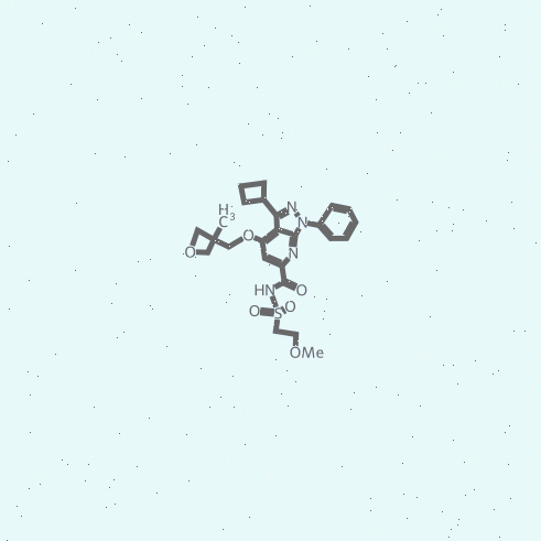 COCCS(=O)(=O)NC(=O)c1cc(OCC2(C)COC2)c2c(C3CCC3)nn(-c3ccccc3)c2n1